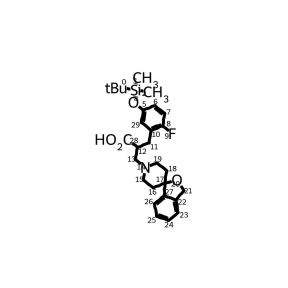 CC(C)(C)[Si](C)(C)Oc1ccc(F)c(CC(CN2CCC3(CC2)OCc2ccccc23)C(=O)O)c1